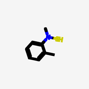 Cc1ccccc1N(C)S